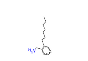 CCCCCCCc1ccccc1CN